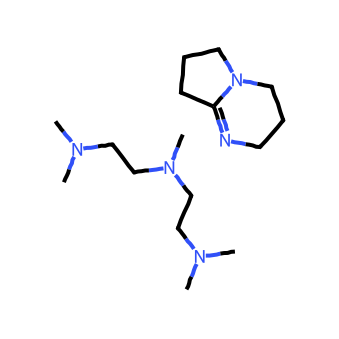 C1CN=C2CCCN2C1.CN(C)CCN(C)CCN(C)C